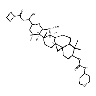 CC(C)C(OC(=O)N1CCC1)C1C[C@@H](C)[C@H]2C(O1)[C@H](O)[C@@]1(C)C3CCC4C(C)(C)C(OC(=O)NC5CCOCC5)CCC45C[C@@]35CCC21C